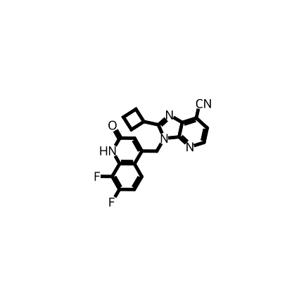 N#Cc1ccnc2c1nc(C1CCC1)n2Cc1cc(=O)[nH]c2c(F)c(F)ccc12